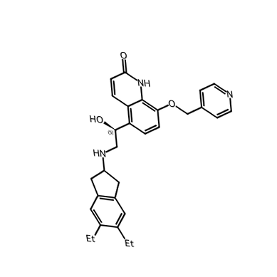 CCc1cc2c(cc1CC)CC(NC[C@@H](O)c1ccc(OCc3ccncc3)c3[nH]c(=O)ccc13)C2